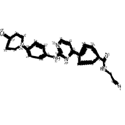 N#CCNC(=O)c1ccc(-c2ccnc(Nc3ccc(N4CCC(O)CC4)cc3)n2)cc1